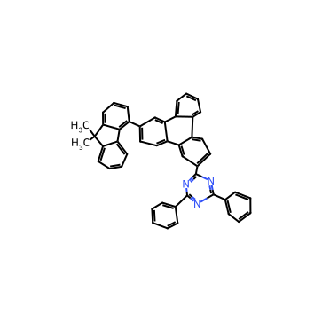 CC1(C)c2ccccc2-c2c(-c3ccc4c5cc(-c6nc(-c7ccccc7)nc(-c7ccccc7)n6)ccc5c5ccccc5c4c3)cccc21